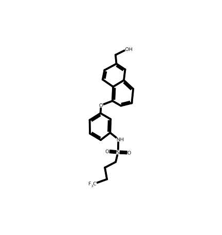 O=S(=O)(CCCC(F)(F)F)Nc1cccc(Oc2cccc3cc(CO)ccc23)c1